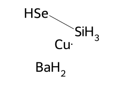 [BaH2].[Cu].[SiH3][SeH]